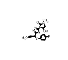 CC#CC(Oc1ccc(F)cc1)c1nnc(N2C(=O)N(C)CC2O)s1